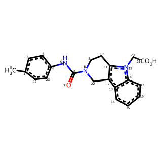 Cc1ccc(NC(=O)N2CCc3c(c4ccccc4n3CC(=O)O)C2)cc1